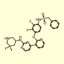 C[C@@]1(F)CNC[C@@H](Nc2nccc(-c3cccnc3Oc3ccc(NS(=O)(=O)Cc4ccccc4)c(F)c3F)n2)C1